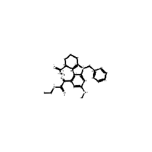 CCOC(=O)C(=O)c1cc(OC)cc2c1c1c(n2Cc2ccccc2)CCCC1C(N)=O